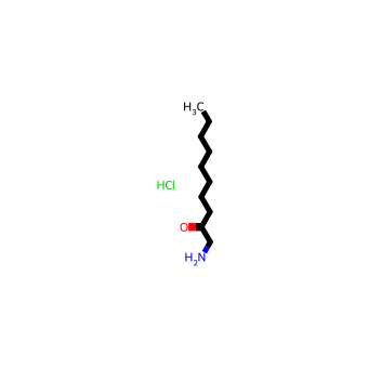 CCCCCCCCC(=O)CN.Cl